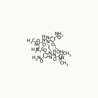 CCc1nc(C)oc1C(=O)Nc1nc2cc(C(N)=O)cc(OCCCO)c2n1CC=CCn1c(NC(=O)c2cc(C)nn2CC)nc2cc(C(N)=O)cc(OC)c21